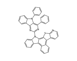 c1ccc(-c2nc(-n3c4ccccc4c4c5ccccc5c5c6cccnc6sc5c43)nc3c4ccccc4n(-c4ccccc4)c23)cc1